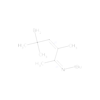 BC(C)(C)/C=C(C)\C(C)=N/C(C)(C)C